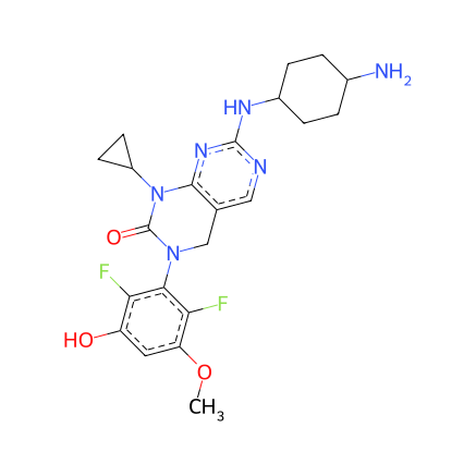 COc1cc(O)c(F)c(N2Cc3cnc(NC4CCC(N)CC4)nc3N(C3CC3)C2=O)c1F